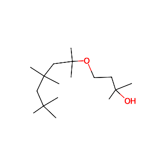 CC(C)(C)CC(C)(C)CC(C)(C)OCCC(C)(C)O